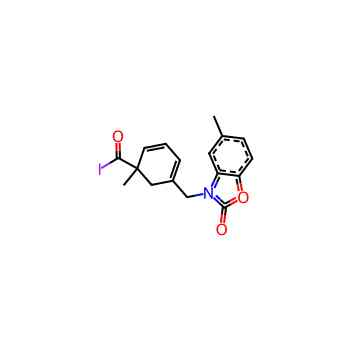 Cc1ccc2oc(=O)n(CC3=CC=CC(C)(C(=O)I)C3)c2c1